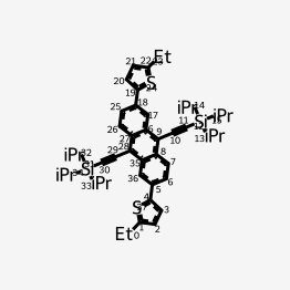 CCc1ccc(-c2ccc3c(C#C[Si](C(C)C)(C(C)C)C(C)C)c4cc(-c5ccc(CC)s5)ccc4c(C#C[Si](C(C)C)(C(C)C)C(C)C)c3c2)s1